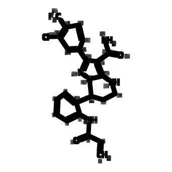 C=CC(=O)Nc1ccccc1C1CCNc2c(C(N)=O)c(-c3ccc(C(F)(F)F)c(Cl)c3)nn21